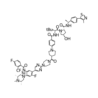 Cc1ncsc1-c1ccc([C@H](C)NC(=O)[C@@H]2C[C@@H](O)CN2C(=O)[C@@H](NC(=O)c2ccc(N3CCC(C(=O)N4CCN(c5ncc(-c6cc(NC(=O)c7ccc(F)cc7C(F)(F)F)c(N7C[C@@H](C)N(C)[C@@H](C)C7)cc6F)cn5)CC4)CC3)cc2)C(C)(C)C)cc1